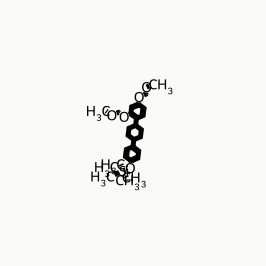 COCOc1ccc(C2CCC(c3ccc(O[Si](C)(C)C(C)(C)C)cc3)CC2)c(OCOC)c1